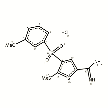 COc1cccc(S(=O)(=O)c2cc(C(=N)N)sc2SC)c1.Cl